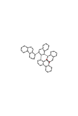 c1ccc2c(-c3c(-c4cccc5c4ccc4ccccc45)c(-c4cccc5c4ccc4ccccc45)cc4ccccc34)cccc2c1